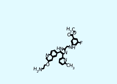 COC(=O)c1cc(F)cc(NCc2nc(-c3cccc(C)n3)c(-c3ccc4ncc(OCCN)cc4c3)[nH]2)c1